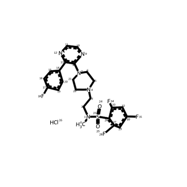 CN(CCN1CCN(c2nccnc2-c2ccc(F)cc2)CC1)S(=O)(=O)c1c(F)cc(F)cc1F.Cl